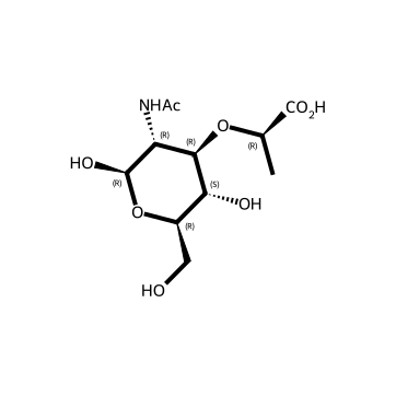 CC(=O)N[C@@H]1[C@@H](O[C@H](C)C(=O)O)[C@H](O)[C@@H](CO)O[C@H]1O